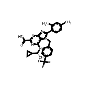 Cc1ccc(-c2nc3nc(C(=O)O)nc(N[C@H](C)C4CC4)c3n2Cc2ccc(C(F)(F)F)cc2)c(C)c1